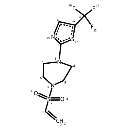 C=CS(=O)(=O)N1CCN(c2ncc(C(F)(F)F)s2)CC1